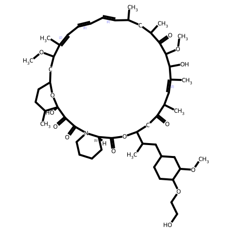 COC1CC2CCC(C)C(O)(O2)C(=O)C(=O)N2CCCC[C@H]2C(=O)OC(C(C)CC2CCC(OCCO)C(OC)C2)CC(=O)C(C)/C=C(/C)C(O)C(OC)C(=O)C(C)CC(C)/C=C/C=C/C=C\1C